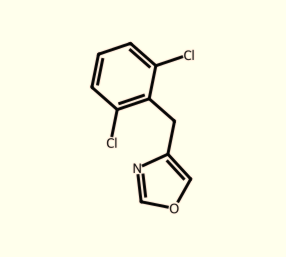 Clc1cccc(Cl)c1Cc1cocn1